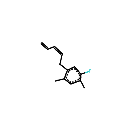 C=C/C=C\Cc1cc(F)c(C)cc1C